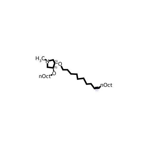 CCCCCCCC/C=C\CCCCCCCCO[C@H]1CN(C)C[C@@H]1OCCCCCCCC